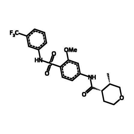 COc1cc(NC(=O)[C@H]2CCOC[C@H]2C)ccc1S(=O)(=O)Nc1cccc(C(F)(F)F)c1